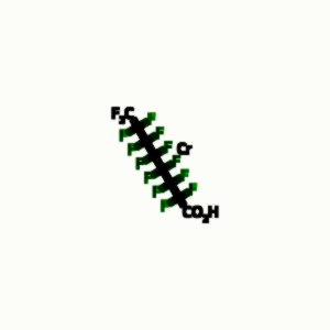 O=C(O)C(F)(F)C(F)(F)C(F)(F)C(F)(F)C(F)(F)C(F)(F)C(F)(F)F.[Cr]